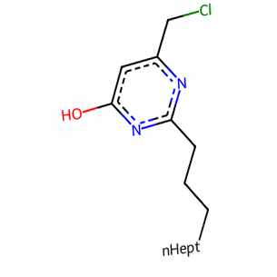 CCCCCCCCCCc1nc(O)cc(CCl)n1